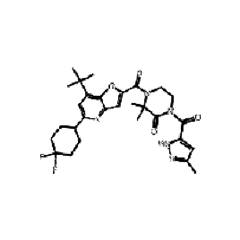 Cc1cc(C(=O)N2CCN(C(=O)c3cc4nc(C5CCC(F)(F)CC5)cc(C(C)(C)C)c4o3)C(C)(C)C2=O)[nH]n1